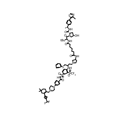 Cc1ncsc1-c1ccc([C@H](C)NC(=O)[C@@H]2C[C@@H](O)CN2C(=O)C(NC(=O)CCCCCC(=O)NC2CCN(CCC(CSc3ccccc3)Nc3ccc(S(=O)(=O)NC(=O)c4ccc(N5CCN(CC6=C(C78CC(C(F)F)(C7)C8)CC(C)(C)CC6)CC5)cc4)cc3S(=O)(=O)C(F)(F)F)C2)C(C)(C)C)cc1